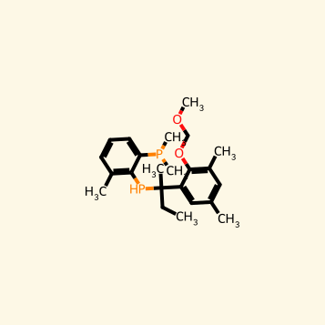 CCC(C)(Pc1c(C)cccc1P(C)C)c1cc(C)cc(C)c1OCOC